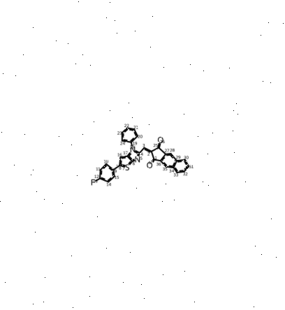 O=C1C(=Cc2nc3sc(-c4ccc(F)cc4)cc3n2-c2ccccc2)C(=O)c2cc3ccccc3cc21